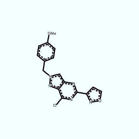 COc1ccc(Cn2cc3nc(-c4ccon4)nc(Cl)c3n2)cc1